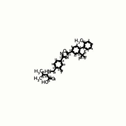 Cc1ccccc1-c1ccc(-c2nc(-c3ccc(CN[C@H](C(=O)O)C(C)C)c(F)c3)no2)cc1C(F)(F)F